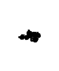 Cc1ccc(-c2ccc(CO[C@](C)(C(=O)N3C(=O)OC(C)(C)[C@@H]3c3ccccc3)[C@@H](O)c3cc(C)on3)cc2)nc1